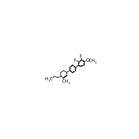 CCCC1CCC(c2ccc(-c3ccc(OC)c(F)c3F)cc2)C=C1C